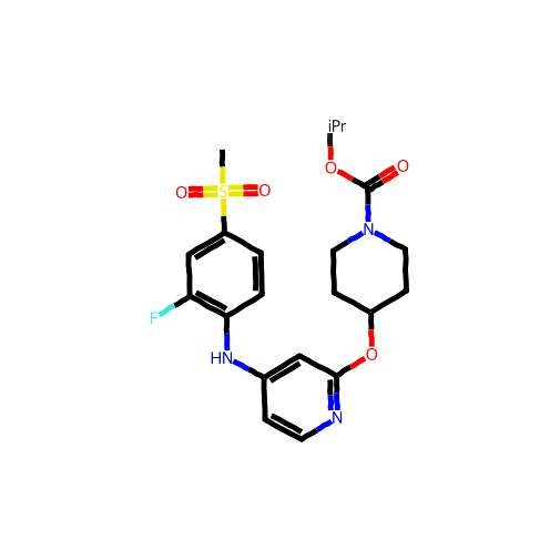 CC(C)OC(=O)N1CCC(Oc2cc(Nc3ccc(S(C)(=O)=O)cc3F)ccn2)CC1